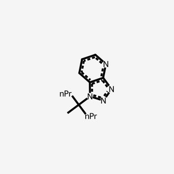 CCCC(C)(CCC)n1nnc2ncccc21